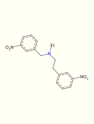 CCN(CCc1cccc([N+](=O)[O-])c1)Cc1cccc([N+](=O)[O-])c1